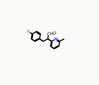 Cc1cccc(C(C=O)Cc2ccc(F)cc2)n1